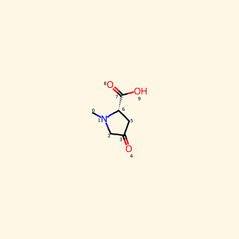 CN1CC(=O)C[C@H]1C(=O)O